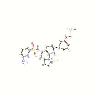 CC(C)COc1cc(F)cc(-c2ccc(C(=O)NS(=O)(=O)c3cccc(N)n3)c(N3CCCC3F)n2)c1